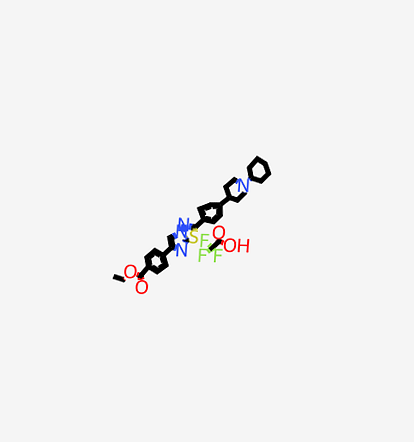 CCOC(=O)c1ccc(-c2cn3nc(-c4ccc(C5CCN(C6CCCCC6)CC5)cc4)sc3n2)cc1.O=C(O)C(F)(F)F